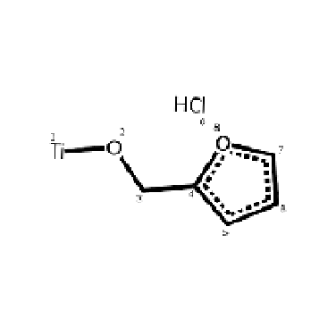 Cl.[Ti][O]Cc1ccco1